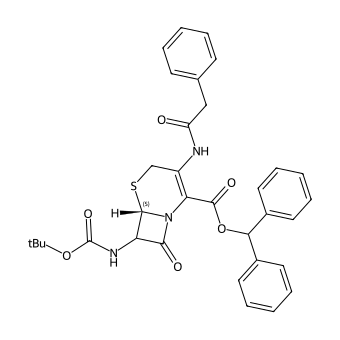 CC(C)(C)OC(=O)NC1C(=O)N2C(C(=O)OC(c3ccccc3)c3ccccc3)=C(NC(=O)Cc3ccccc3)CS[C@@H]12